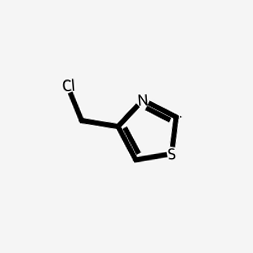 ClCc1cs[c]n1